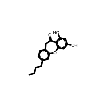 CCCCc1ccc2c(c1)Oc1cc(O)cc(O)c1C(=O)C2